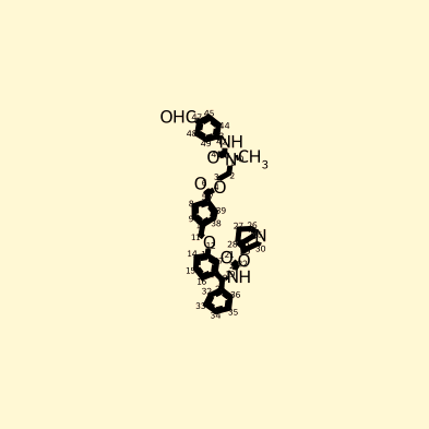 CN(CCOC(=O)c1ccc(COc2cccc([C@@H](NC(=O)OC3CN4CCC3CC4)c3ccccc3)c2)cc1)C(=O)Nc1ccc(C=O)cc1